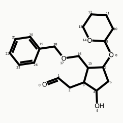 O=CCC1C(O)CC(OC2CCCCO2)C1COCc1ccccc1